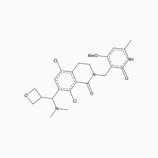 COc1cc(C)[nH]c(=O)c1CN1CCc2c(Cl)cc(C(C3COC3)N(C)C)c(Cl)c2C1=O